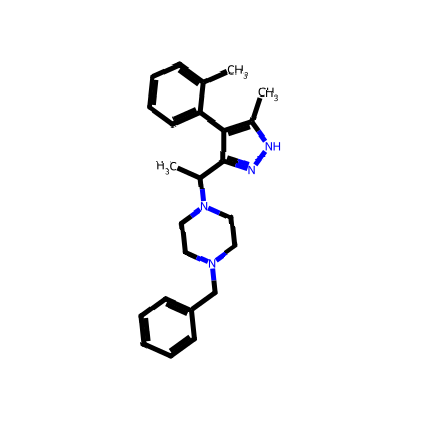 Cc1ccccc1-c1c(C(C)N2CCN(Cc3ccccc3)CC2)n[nH]c1C